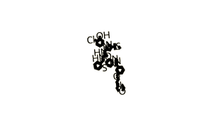 CSC(C)(C)c1cc(NC(=O)NCc2ccccc2Sc2ccc3nnc(-c4cccc(OCCN5CCOCC5)c4)n3c2)n(-c2ccc(Cl)c(O)c2)n1